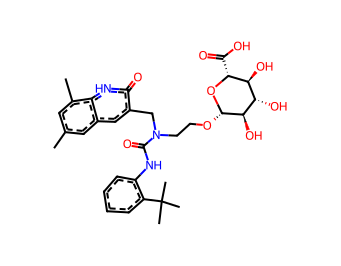 Cc1cc(C)c2[nH]c(=O)c(CN(CCO[C@@H]3O[C@H](C(=O)O)[C@@H](O)[C@H](O)[C@H]3O)C(=O)Nc3ccccc3C(C)(C)C)cc2c1